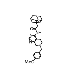 COc1ccc(CN2CCc3c(ncnc3NC(=O)CC34CC5CC(CC(C5)C3)C4)C2)cc1